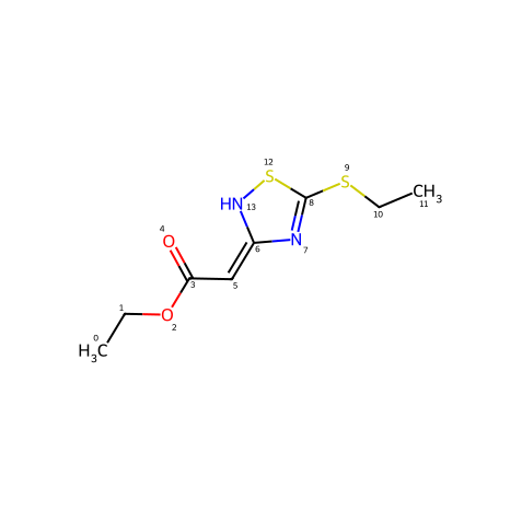 CCOC(=O)C=C1N=C(SCC)SN1